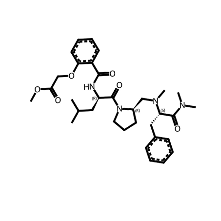 COC(=O)COc1ccccc1C(=O)N[C@H](CC(C)C)C(=O)N1CCC[C@@H]1CN(C)[C@@H](Cc1ccccc1)C(=O)N(C)C